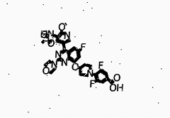 COc1ncc(-c2nc(N3CCOCC3)nc3c(OC4CCN(c5c(F)cc(C(=O)O)cc5F)CC4)cc(F)cc23)cc1NS(C)(=O)=O